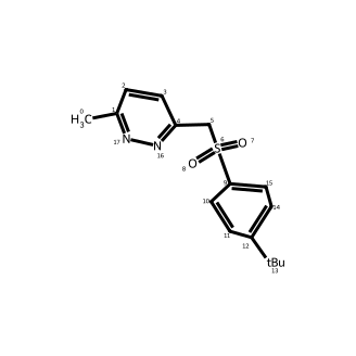 Cc1ccc(CS(=O)(=O)c2ccc(C(C)(C)C)cc2)nn1